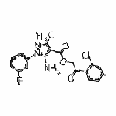 Cc1nn(-c2cccc(F)c2)c(N)c1C(=O)OCC(=O)c1ccccc1Cl